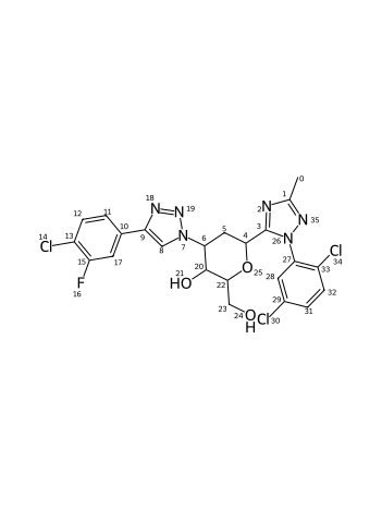 Cc1nc(C2CC(n3cc(-c4ccc(Cl)c(F)c4)nn3)C(O)C(CO)O2)n(-c2cc(Cl)ccc2Cl)n1